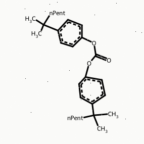 CCCCCC(C)(C)c1ccc(OC(=O)Oc2ccc(C(C)(C)CCCCC)cc2)cc1